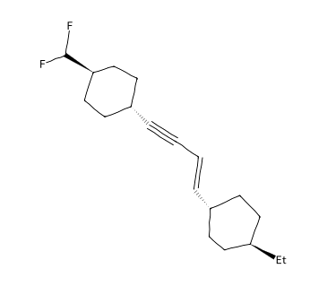 CC[C@H]1CC[C@H](/C=C/C#C[C@H]2CC[C@H](C(F)F)CC2)CC1